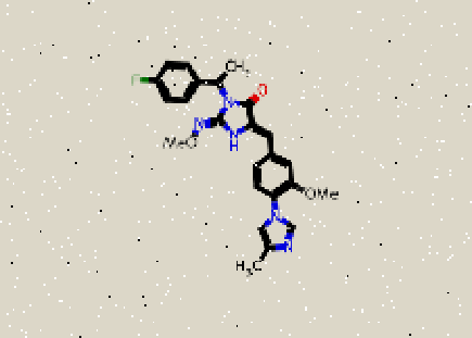 CO/N=C1\N/C(=C\c2ccc(-n3cnc(C)c3)c(OC)c2)C(=O)N1C(C)c1ccc(F)cc1